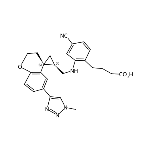 Cn1cc(-c2ccc3c(c2)[C@]2(CCO3)C[C@H]2CNc2cc(C#N)ccc2CCCC(=O)O)nn1